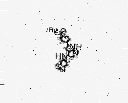 CC(C)(C)OC(=O)N1CC=C(C2Cc3c(Nc4ccc5ncsc5c4)ccnc3N2)CC1